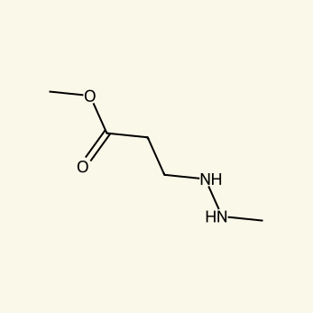 CNNCCC(=O)OC